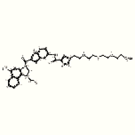 COCCOCCOCCOCCn1cc(C(=O)Nc2cnc3[nH]c(C(=O)N4C[C@@H](CCl)c5c4cc(O)c4ccccc54)cc3c2)nn1